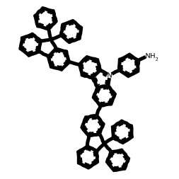 Nc1ccc(-n2c3ccc(-c4ccc5c(c4)C(c4ccccc4)(c4ccccc4)c4ccccc4-5)cc3c3cc(-c4ccc5c(c4)C(c4ccccc4)(c4ccccc4)c4ccccc4-5)ccc32)cc1